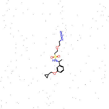 CC(NS(=O)(=O)CCOCCN=[N+]=[N-])c1cccc(OCC2CC2)c1